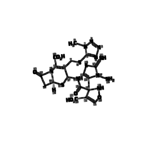 Cn1nnnc1SCC1=C(C(=O)O)N2C(=O)C[C@@H]2SC1NC(=O)C1(c2csc(=N)n2N)NOC=C1C(=O)O